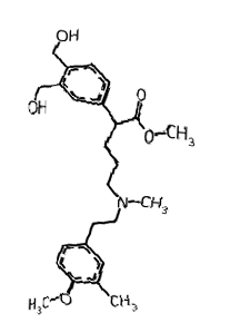 COC(=O)C(CCCN(C)CCc1ccc(OC)c(C)c1)c1ccc(CO)c(CO)c1